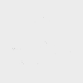 COc1cc(N(c2ccccc2)c2ccccc2)ccc1[N+](=O)[O-]